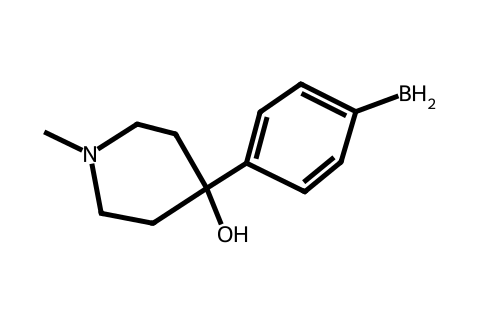 Bc1ccc(C2(O)CCN(C)CC2)cc1